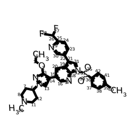 CCOc1nn(C2CCN(C)CC2)cc1-c1cnc2c(c1)c(-c1ccc(C(F)F)nc1)cn2S(=O)(=O)c1ccc(C)cc1